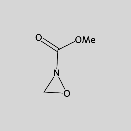 COC(=O)N1CO1